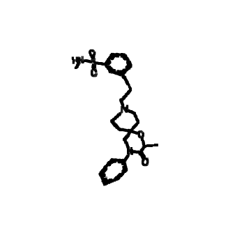 CNS(=O)(=O)c1cccc(CCN2CCC3(CC2)CN(c2ccccc2)C(=O)C(C)O3)c1